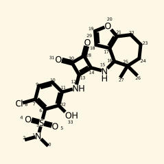 CN(C)S(=O)(=O)c1c(Cl)ccc(Nc2c(NC3c4ccoc4CCCC3(C)C)c(=O)c2=O)c1O